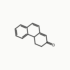 O=C1C=C2C=Cc3ccccc3C2CC1